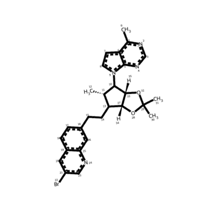 Cc1ncnc2c1ccn2C1[C@@H](C)C(CCc2ccc3cc(Br)cnc3c2)[C@H]2OC(C)(C)O[C@@H]12